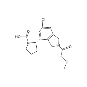 COCC(=O)N1Cc2cc(Cl)cc([C@@H]3CCCN3C(=O)O)c2C1